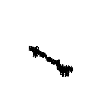 CCc1cc(Nc2ncc(Br)c(Nc3ccc4nccnc4c3P(C)(C)=O)n2)c(OC)cc1N1CCC(N2CCN(CCC3CCN(c4ccc(C5CCC(=O)NC5=O)c(C(F)(F)F)c4)CC3)CC2)CC1